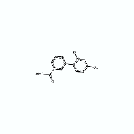 COC(=O)c1ccnc(-c2ccc(C(C)=O)c[n+]2[O-])c1